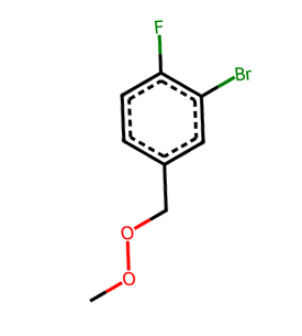 COOCc1ccc(F)c(Br)c1